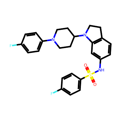 O=S(=O)(Nc1ccc2c(c1)N(C1CCN(c3ccc(F)cc3)CC1)CC2)c1ccc(F)cc1